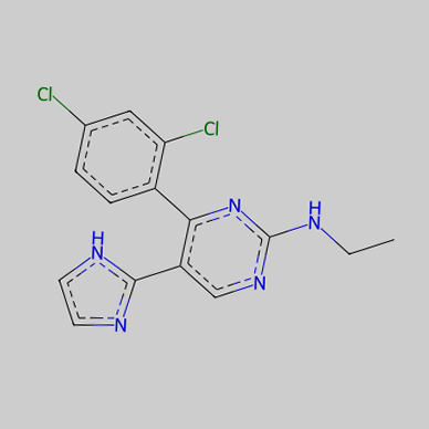 CCNc1ncc(-c2ncc[nH]2)c(-c2ccc(Cl)cc2Cl)n1